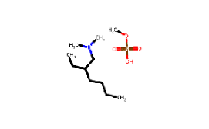 CCCCC(CC)CN(C)C.COS(=O)(=O)O